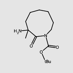 CC(C)(C)OC(=O)N1CCCCCCC(C)(N)C1=O